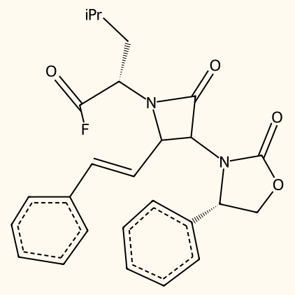 CC(C)C[C@@H](C(=O)F)N1C(=O)C(N2C(=O)OC[C@@H]2c2ccccc2)C1C=Cc1ccccc1